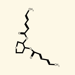 CC=CC=CC(=O)OC1CCCCC1OC(=O)C=CC=CC